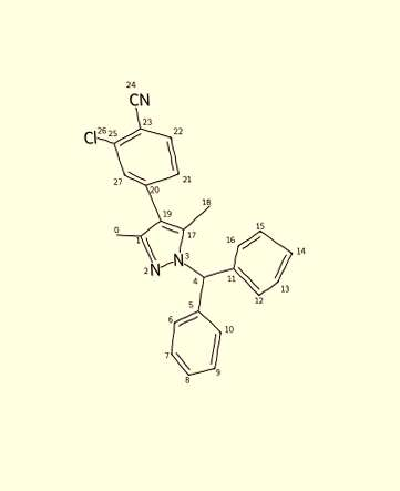 Cc1nn(C(c2ccccc2)c2ccccc2)c(C)c1-c1ccc(C#N)c(Cl)c1